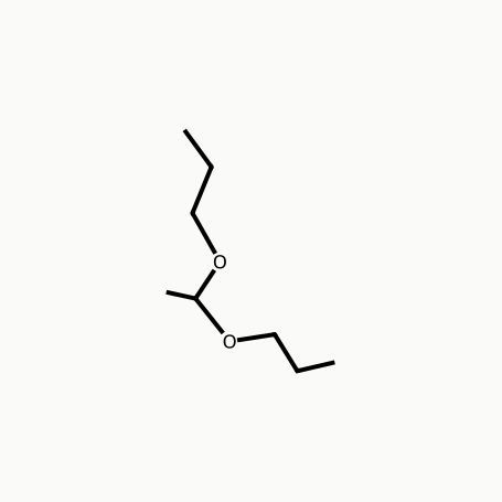 CCCOC(C)OCCC